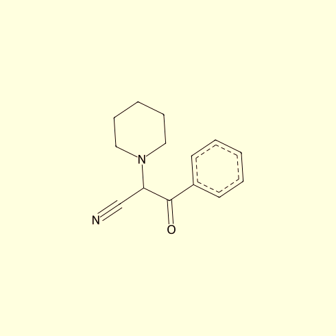 N#CC(C(=O)c1ccccc1)N1CCCCC1